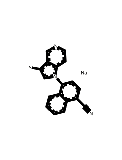 N#Cc1ccc(-n2cc([S-])c3cnccc32)c2ccccc12.[Na+]